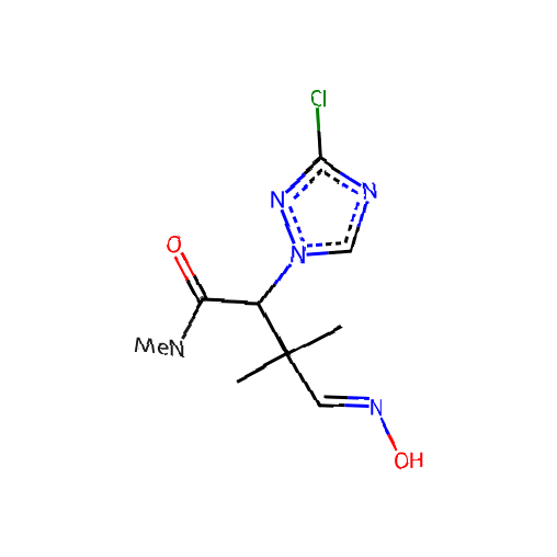 CNC(=O)C(n1cnc(Cl)n1)C(C)(C)C=NO